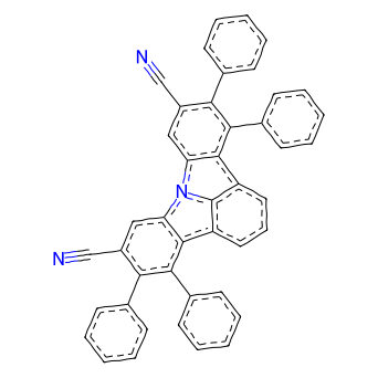 N#Cc1cc2c(c(-c3ccccc3)c1-c1ccccc1)c1cccc3c4c(-c5ccccc5)c(-c5ccccc5)c(C#N)cc4n2c13